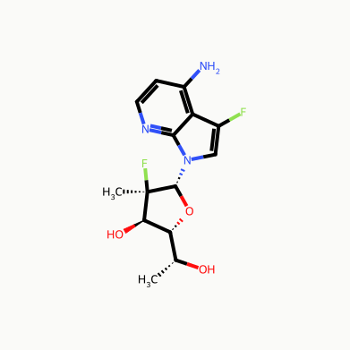 C[C@@H](O)[C@H]1O[C@@H](n2cc(F)c3c(N)ccnc32)[C@](C)(F)[C@@H]1O